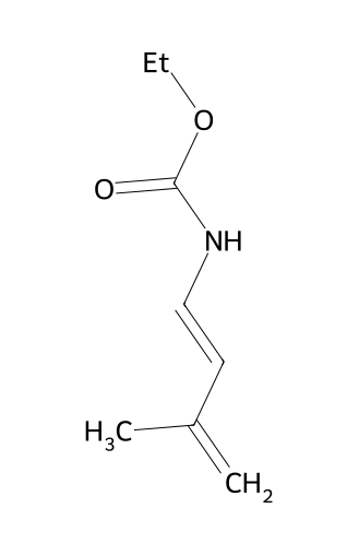 C=C(C)C=CNC(=O)OCC